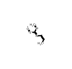 C=N/C(=N\C=C/C)[S+]=O